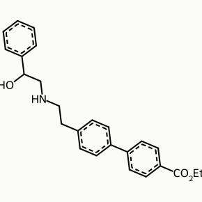 CCOC(=O)c1ccc(-c2ccc(CCNCC(O)c3ccccc3)cc2)cc1